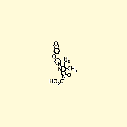 Cc1c(N2CCC(Oc3ccc4c(c3)COC4)CC2)nc2c(c1C)C(=O)N(CC(=O)O)C2